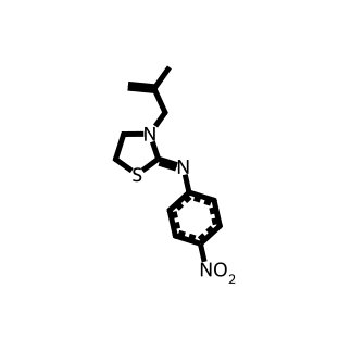 C=C(C)CN1CCS/C1=N\c1ccc([N+](=O)[O-])cc1